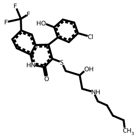 CCCCCNCC(O)CSc1c(-c2cc(Cl)ccc2O)c2cc(C(F)(F)F)ccc2[nH]c1=O